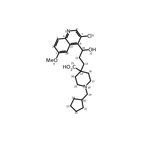 COc1ccc2ncc(Cl)c(C(O)CCC3(C(=O)O)CCN(CC4CCCC4)CC3)c2c1